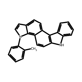 Cc1ccccc1-n1ccc2ccc3c(ccc4[nH]c5ccccc5c43)c21